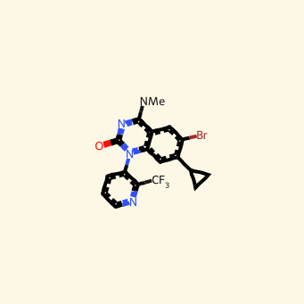 CNc1nc(=O)n(-c2cccnc2C(F)(F)F)c2cc(C3CC3)c(Br)cc12